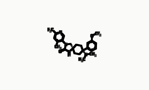 Cc1cc(C(F)(F)F)ncc1N1C[C@]2(CC[C@@](c3cccc(OC(F)(F)F)c3)(N(C)C)CC2)NC1=O